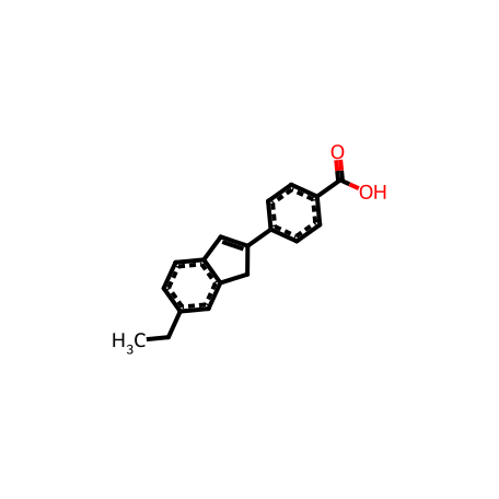 CCc1ccc2c(c1)CC(c1ccc(C(=O)O)cc1)=C2